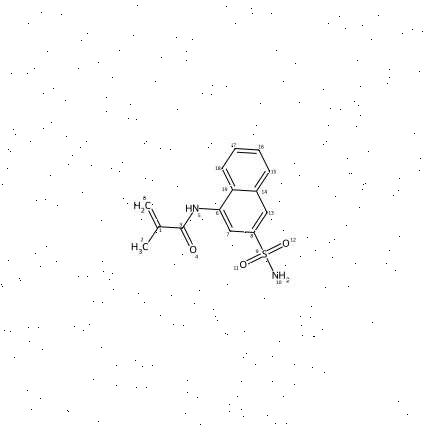 C=C(C)C(=O)Nc1cc(S(N)(=O)=O)cc2ccccc12